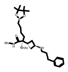 CC(=O)N[C@@](CCCCB1OC(C)(C)C(C)(C)O1)(C(=O)NC(C)(C)C)[C@H]1C[C@H](NCCCc2ccccc2)C1